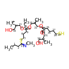 CCCC(=NC)SCCC[Si](C)(OCC(C)CO)OCC(C)CO[SiH](CCCCS)OCC(C)CO